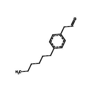 CCCCCCc1ccc(C[C]=O)cc1